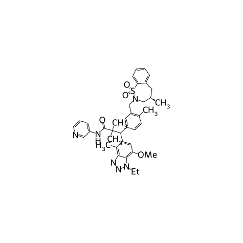 CCn1nnc2c(C)c(C(c3ccc(C)c(CN4C[C@H](C)Cc5ccccc5S4(=O)=O)c3)C(C)(C)C(=O)Nc3cccnc3)cc(OC)c21